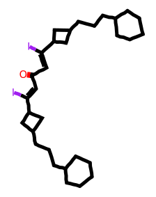 O=C(C=C(I)C1CC(CCCC2CCCCC2)C1)C=C(I)C1CC(CCCC2CCCCC2)C1